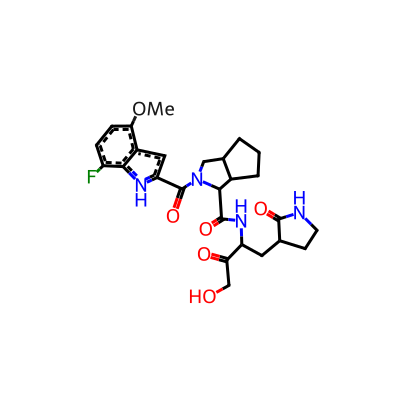 COc1ccc(F)c2[nH]c(C(=O)N3CC4CCCC4C3C(=O)NC(CC3CCNC3=O)C(=O)CO)cc12